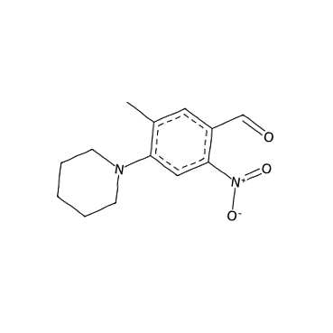 Cc1cc(C=O)c([N+](=O)[O-])cc1N1CCCCC1